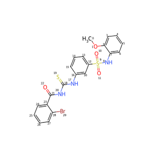 COc1ccccc1NS(=O)(=O)c1cccc(NC(=S)NC(=O)c2ccccc2Br)c1